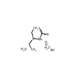 CCN(CC)NC(=S)[S-].O.O.O.[Na+]